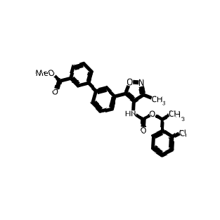 COC(=O)c1cccc(-c2cccc(-c3onc(C)c3NC(=O)OC(C)c3ccccc3Cl)c2)c1